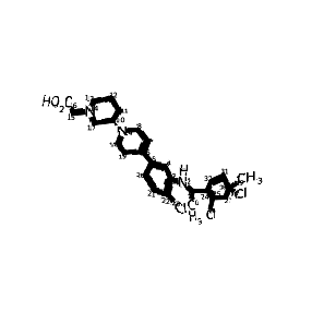 CC(Nc1cc(C2=CCN([C@H]3CCCN(CC(=O)O)C3)CC2)ccc1Cl)C1=C(Cl)CC(C)(Cl)C=C1